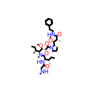 CC[C@H](C)[C@@H]([C@@H](CC(=O)N1CCC[C@H]1[C@H](OC)[C@@H](C)C(=O)NCCc1ccccc1)OC)N(C)C(=O)[C@@H](NC(=O)CNC)[C@@H](C)CC